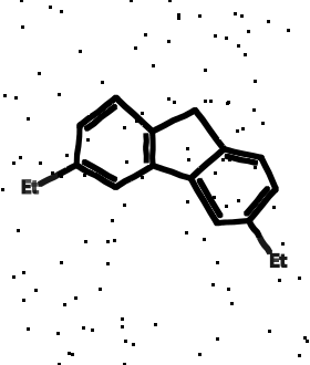 CCc1ccc2c(c1)-c1cc(CC)ccc1C2